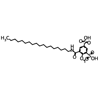 CCCCCCCCCCCCCCCCCCNC(=O)c1cc(S(=O)(=O)O)cc(S(=O)(=O)O)c1OI